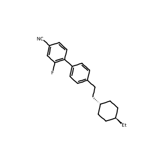 CC[C@H]1CC[C@H](CCc2ccc(-c3ccc(C#N)cc3F)cc2)CC1